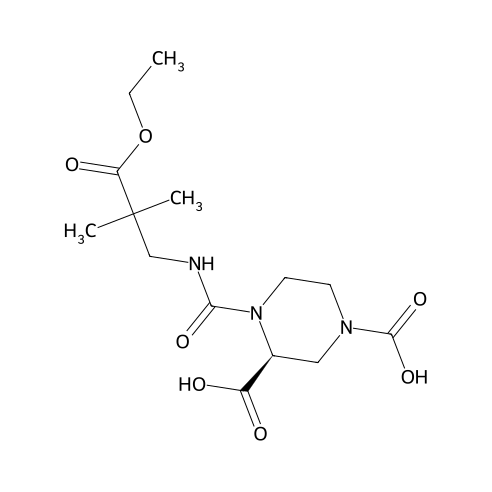 CCOC(=O)C(C)(C)CNC(=O)N1CCN(C(=O)O)C[C@H]1C(=O)O